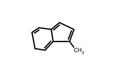 CC1=CC=C2C=CCC=C12